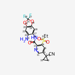 CCS(=O)(=O)c1cc(C2(C#N)CC2)cnc1C(=O)Nc1cc2c(cc1N)OC(F)(F)O2